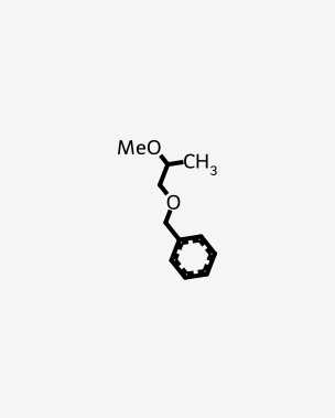 COC(C)COCc1ccccc1